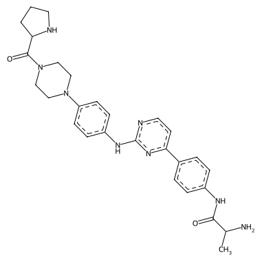 CC(N)C(=O)Nc1ccc(-c2ccnc(Nc3ccc(N4CCN(C(=O)C5CCCN5)CC4)cc3)n2)cc1